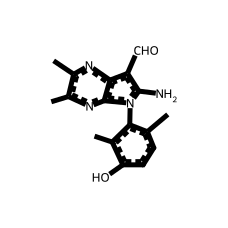 Cc1ccc(O)c(C)c1-n1c(N)c(C=O)c2nc(C)c(C)nc21